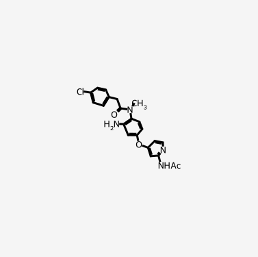 CC(=O)Nc1cc(Oc2ccc(N(C)C(=O)Cc3ccc(Cl)cc3)c(N)c2)ccn1